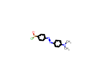 CN(C)c1ccc(N=Nc2ccc([S+]([O-])Cl)cc2)cc1